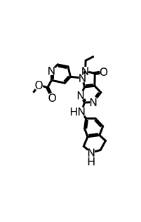 CCn1c(=O)c2cnc(Nc3ccc4c(c3)CNCC4)nc2n1-c1ccnc(C(=O)OC)c1